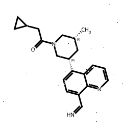 C[C@@H]1C[C@H](c2ccc(C=N)c3ncccc23)CN(C(=O)CC2CC2)C1